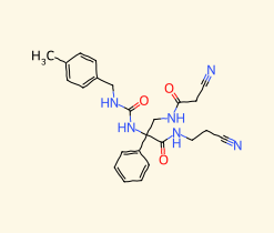 Cc1ccc(CNC(=O)NC(CNC(=O)CC#N)(C(=O)NCCC#N)c2ccccc2)cc1